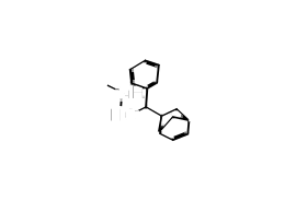 C[SiH](C)c1ccccc1C(O)C1CC2C=CC1C2